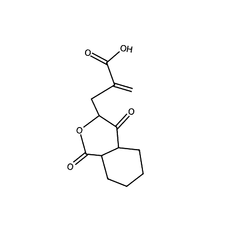 C=C(CC1OC(=O)C2CCCCC2C1=O)C(=O)O